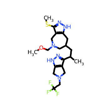 COCN1Cc2c(SC)n[nH]c2CC(CC(C)c2n[nH]c3c2CN(CC(F)(F)F)C3)C1